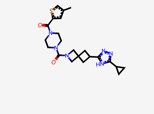 Cc1csc(C(=O)N2CCN(C(=O)N3CC4(CC(c5nnc(C6CC6)[nH]5)C4)C3)CC2)c1